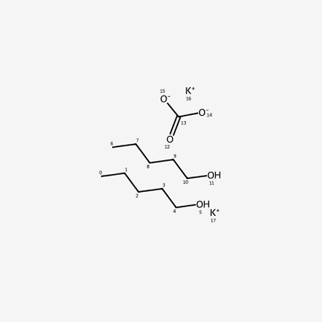 CCCCCO.CCCCCO.O=C([O-])[O-].[K+].[K+]